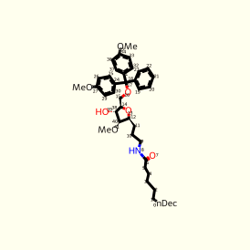 CCCCCCCCCCCCCCCC(=O)NCCC[C@@H]1O[C@H](COC(c2ccccc2)(c2ccc(OC)cc2)c2ccc(OC)cc2)[C@@H](O)[C@H]1OC